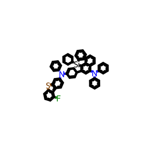 Fc1cccc2sc3cc(N(C4=CC5C(C=C4)c4cc(N(c6ccccc6)c6ccccc6)c6ccccc6c4[Si]5(c4ccccc4)C4C=CC=CC4)c4ccccc4)ccc3c12